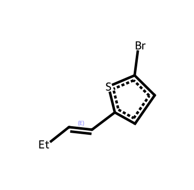 CC/C=C/c1ccc(Br)s1